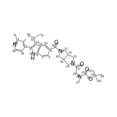 Cc1cc(-c2[nH]c3ccc(C(=O)N4CC5CN(C(=O)CN(C)C(=O)OC(C)(C)C)CC5C4)cc3c2C(C)C)ccn1